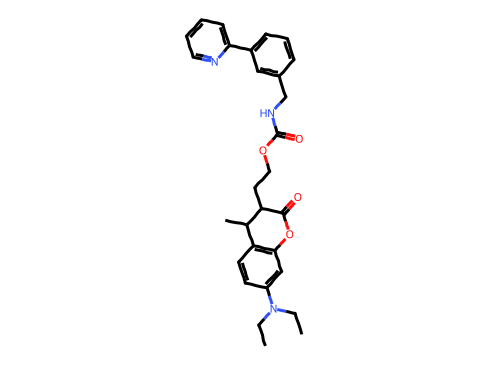 CCN(CC)c1ccc2c(c1)OC(=O)C(CCOC(=O)NCc1cccc(-c3ccccn3)c1)C2C